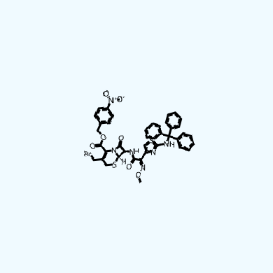 CO/N=C(\C(=O)NC1C(=O)N2C(C(=O)OCc3ccc([N+](=O)[O-])cc3)=C(CBr)CS[C@H]12)c1csc(NC(c2ccccc2)(c2ccccc2)c2ccccc2)n1